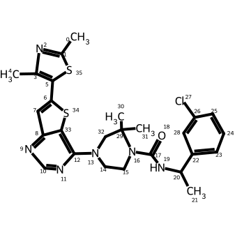 Cc1nc(C)c(-c2cc3ncnc(N4CCN(C(=O)NC(C)c5cccc(Cl)c5)C(C)(C)C4)c3s2)s1